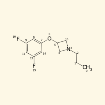 CCCN1CC(Oc2cc(F)cc(F)c2)C1